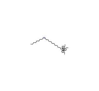 CCCCCCCC/C=C\CCCCCCCCCCC[Si](OCC)(OCC)OCC